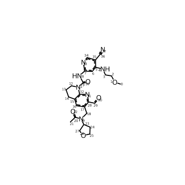 COCCNc1cc(NC(=O)N2CCCc3cc(CN(C(C)=O)C4CCOC4)c(C=O)nc32)ncc1C#N